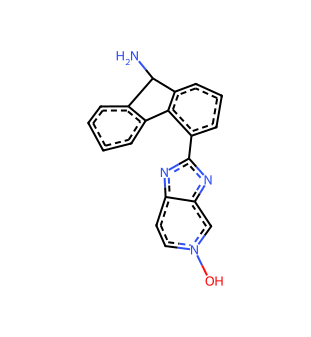 NC1c2ccccc2-c2c(-c3nc4ccn(O)cc-4n3)cccc21